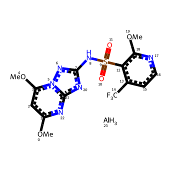 COc1cc(OC)n2nc(NS(=O)(=O)c3c(C(F)(F)F)ccnc3OC)nc2n1.[AlH3]